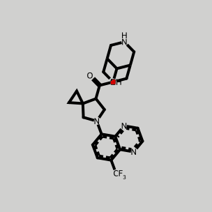 O=C(NC1C2CNCC1COC2)C1CN(c2ccc(C(F)(F)F)c3nccnc23)CC12CC2